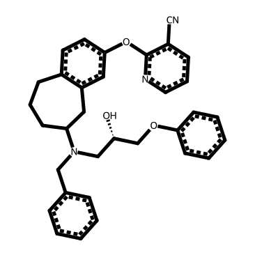 N#Cc1cccnc1Oc1ccc2c(c1)CC(N(Cc1ccccc1)C[C@H](O)COc1ccccc1)CCC2